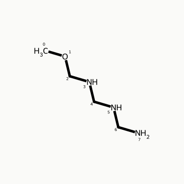 COCNCNCN